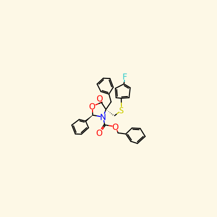 O=C(OCc1ccccc1)N1[C@@H](c2ccccc2)OC(=O)[C@@]1(CSc1ccc(F)cc1)Cc1ccccc1